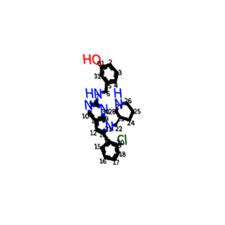 Oc1cccc(CNc2ncc3cc(-c4ccccc4Cl)n(C[C@@H]4CCCNC4)c3n2)c1